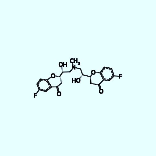 CN(C[C@@H](O)[C@@H]1CC(=O)c2cc(F)ccc2O1)C[C@@H](O)[C@@H]1CC(=O)c2cc(F)ccc2O1